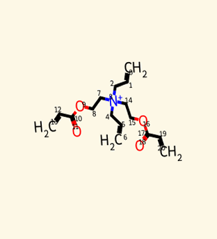 C=CC[N+](CC=C)(CCOC(=O)C=C)CCOC(=O)C=C